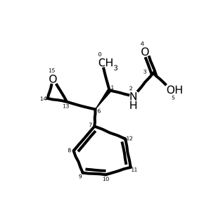 CC(NC(=O)O)[C@@H](c1ccccc1)C1CO1